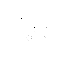 Cc1ccccc1C1C2CCCN2CCN1C(=O)N(C)Cc1cc(C(F)(F)F)cc(C(F)(F)F)c1